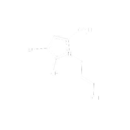 CC=CCn1c(C(=O)O)cc(CC)c1C